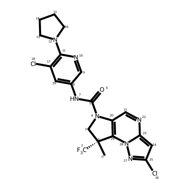 C[C@@]1(C(F)(F)F)CN(C(=O)Nc2cnc(N3CCCC3)c(Cl)c2)c2cnc3cc(Cl)nn3c21